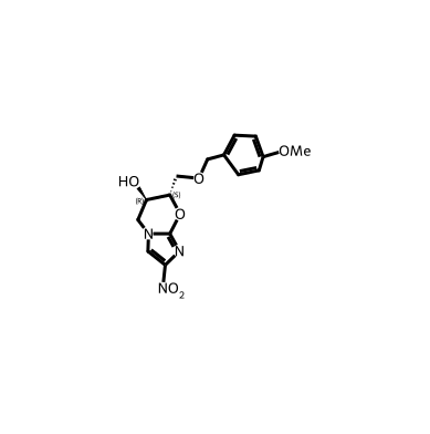 COc1ccc(COC[C@@H]2Oc3nc([N+](=O)[O-])cn3C[C@H]2O)cc1